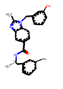 Cc1nc2cc(C(=O)N[C@@H](C)c3cccc(C(C)(C)C)c3)ccc2n1Cc1cccc(O)c1